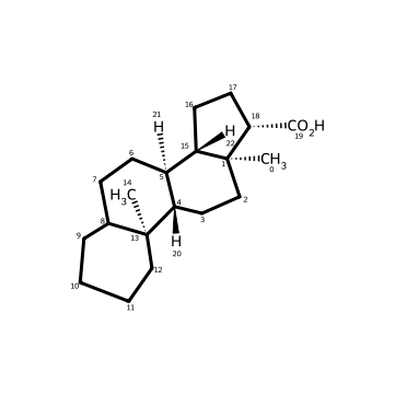 C[C@]12CC[C@H]3[C@@H](CCC4CCCC[C@@]43C)[C@@H]1CC[C@@H]2C(=O)O